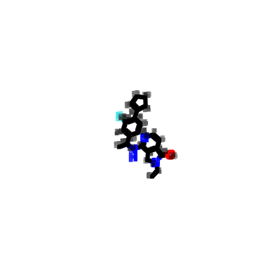 CCN1Cc2c(ccnc2NC(C)c2ccc(C3=CCCC3)c(F)c2)C1=O